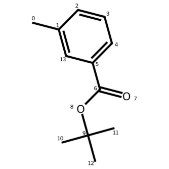 Cc1cccc(C(=O)OC(C)(C)C)c1